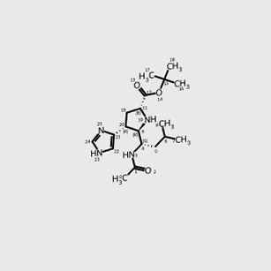 CC(=O)N[C@@H](CC(C)C)[C@@H]1N[C@@H](C(=O)OC(C)(C)C)C[C@H]1c1c[nH]cn1